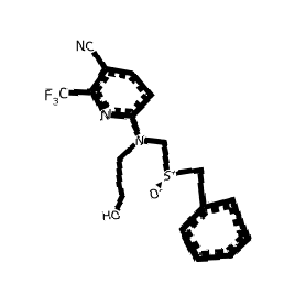 N#Cc1ccc(N(CCO)C[S@+]([O-])Cc2ccccc2)nc1C(F)(F)F